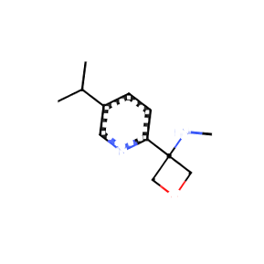 CNC1(c2ccc(C(C)C)cn2)COC1